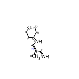 C/C(C=N)=C/NC1CCSCC1